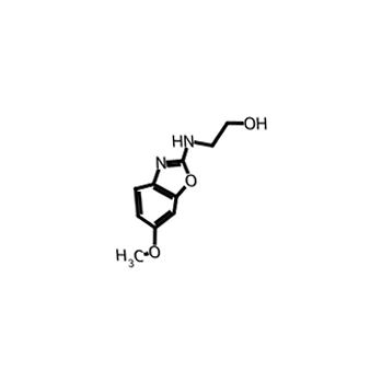 COc1ccc2nc(NCCO)oc2c1